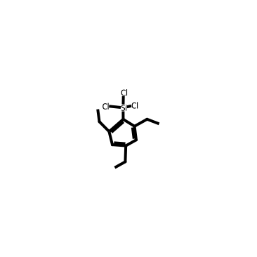 CCc1cc(CC)c([Si](Cl)(Cl)Cl)c(CC)c1